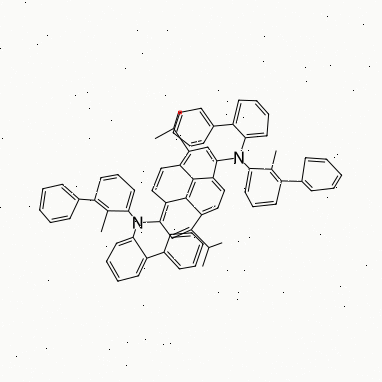 Cc1c(-c2ccccc2)cccc1N(c1ccccc1-c1ccccc1)c1cc(C(C)C)c2ccc3c(N(c4ccccc4-c4ccccc4)c4cccc(-c5ccccc5)c4C)cc(C(C)C)c4ccc1c2c43